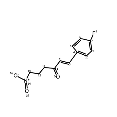 O=C(C=Cc1ccc(F)cc1)CCC[N+](=O)[O-]